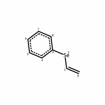 C=C[Se]c1ccccc1